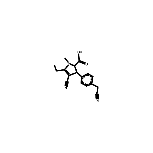 CCC1=C(C#N)C(c2ccc(CC#N)cc2)C(C(=O)O)N1C